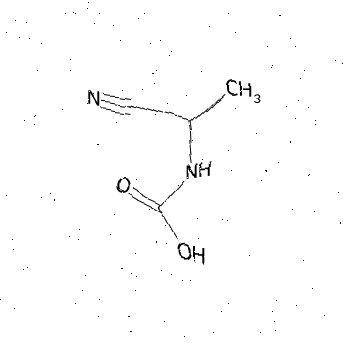 CC(C#N)NC(=O)O